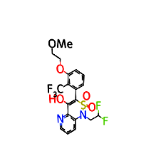 COCCOc1cccc(C2=C(O)c3ncccc3N(CC(F)F)S2(=O)=O)c1C(F)(F)F